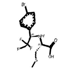 CSC[C@H](N[C@H](c1ccc(Br)cc1)C(F)(F)F)C(=O)O